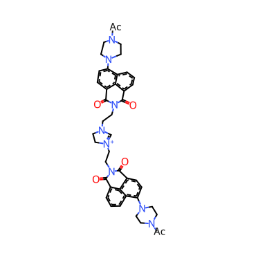 CC(=O)N1CCN(c2ccc3c4c(cccc24)C(=O)N(CCN2C=[N+](CCN4C(=O)c5cccc6c(N7CCN(C(C)=O)CC7)ccc(c56)C4=O)CC2)C3=O)CC1